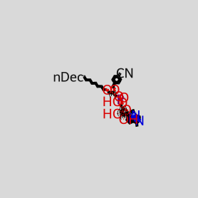 C#C[C@@]1(c2ccc3c(C)ncnn23)O[C@H](COP(=O)(O)OC[C@@H](COCCCCCCCCCCCCCCCCCC)OCc2ccc(C#N)cc2)[C@@H](O)[C@H]1O